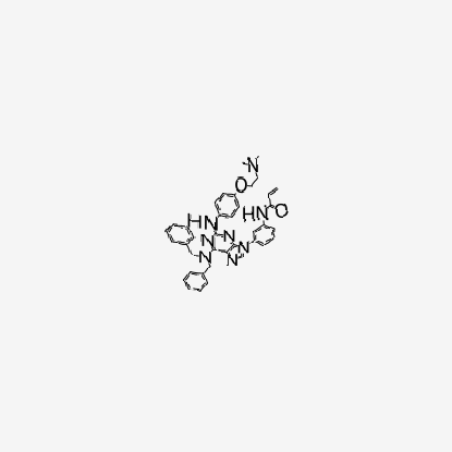 C=CC(=O)Nc1cccc(-n2cnc3c(N(Cc4ccccc4)Cc4ccccc4)nc(Nc4ccc(OCCN(C)C)cc4)nc32)c1